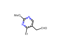 CCc1nc(OC)ncc1CC=O